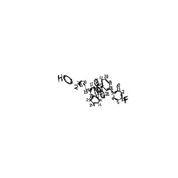 Cc1cc(F)ccc1-c1cccc(S(=O)(=O)n2cc(CCC(=O)O)c3ccccc32)c1